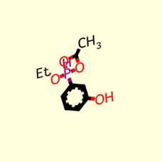 CCO[PH]1(c2cccc(O)c2)OC(C)O1